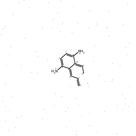 C=C/C=c1/c(N)ccc(N)/c1=C/C